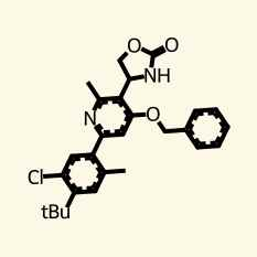 Cc1cc(C(C)(C)C)c(Cl)cc1-c1cc(OCc2ccccc2)c(C2COC(=O)N2)c(C)n1